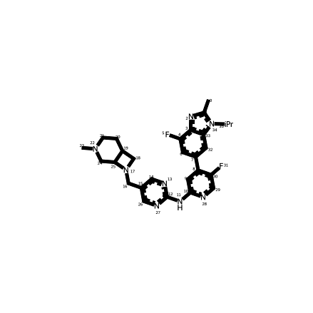 Cc1nc2c(F)cc(-c3cc(Nc4ncc(CN5CC6CCN(C)CC65)cn4)ncc3F)cc2n1C(C)C